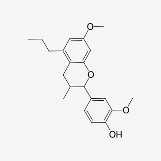 CCCc1cc(OC)cc2c1CC(C)C(c1ccc(O)c(OC)c1)O2